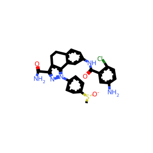 C[S+]([O-])c1ccc(-n2nc(C(N)=O)c3c2-c2cc(NC(=O)c4cc(N)ccc4Cl)ccc2CC3)cc1